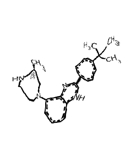 C[C@H]1CN(c2cccc3[nH]c(-c4ccc(C(C)(C)C)cc4)nc23)CCN1